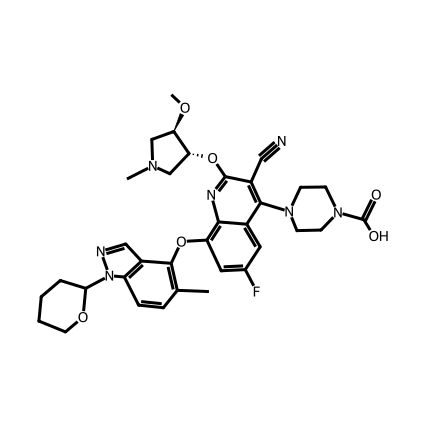 CO[C@@H]1CN(C)C[C@H]1Oc1nc2c(Oc3c(C)ccc4c3cnn4C3CCCCO3)cc(F)cc2c(N2CCN(C(=O)O)CC2)c1C#N